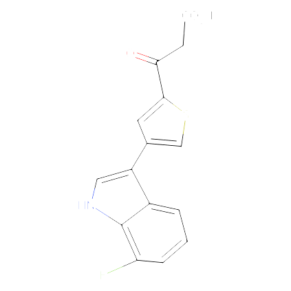 O=C(O)CC(=O)c1cc(-c2c[nH]c3c(F)cccc23)cs1